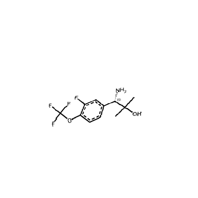 CC(C)(O)[C@@H](N)c1ccc(OC(F)(F)F)c(F)c1